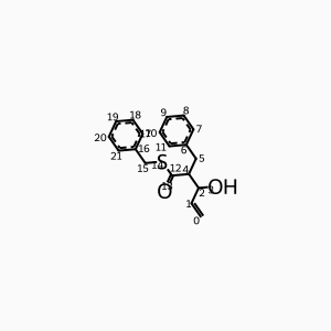 C=CC(O)C(Cc1ccccc1)C(=O)SCc1ccccc1